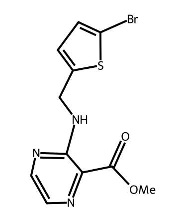 COC(=O)c1nccnc1NCc1ccc(Br)s1